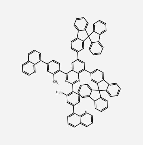 Cc1cc(-c2cccc3cccnc23)ccc1-c1nc(-c2ccc(-c3cccc4cccnc34)cc2C)c2cc(-c3ccc4c(c3)C3(c5ccccc5-c5ccccc53)c3ccccc3-4)cc(-c3ccc4c(c3)C3(c5ccccc5-c5ccccc53)c3ccccc3-4)c2n1